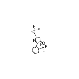 O=C1CC(C2CC2(F)F)=NN1c1ccccc1C(F)(F)F